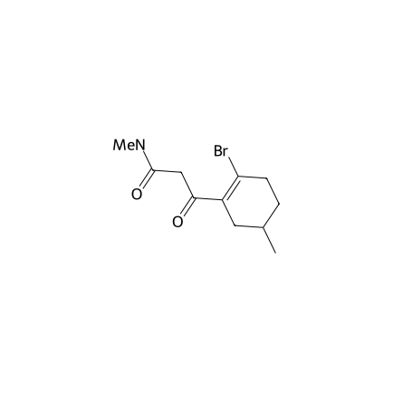 CNC(=O)CC(=O)C1=C(Br)CCC(C)C1